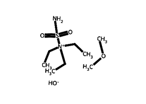 CC[N+](CC)(CC)S(N)(=O)=O.COC.[OH-]